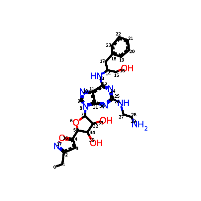 CCc1cc(C2OC(n3cnc4c(NC(CO)Cc5ccccc5)nc(NCCN)nc43)C(O)C2O)on1